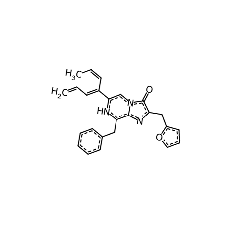 C=C/C=C(\C=C/C)c1cn2c(=O)c(Cc3ccco3)nc-2c(Cc2ccccc2)[nH]1